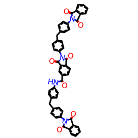 O=C(Nc1ccc(Cc2ccc(N3C(=O)c4ccccc4C3=O)cc2)cc1)c1ccc2c(c1)C(=O)N(c1ccc(Cc3ccc(N4C(=O)c5ccccc5C4=O)cc3)cc1)C2=O